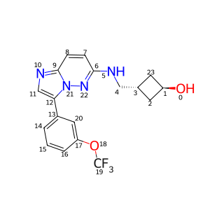 O[C@H]1C[C@H](CNc2ccc3ncc(-c4cccc(OC(F)(F)F)c4)n3n2)C1